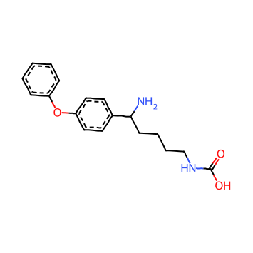 NC(CCCCNC(=O)O)c1ccc(Oc2ccccc2)cc1